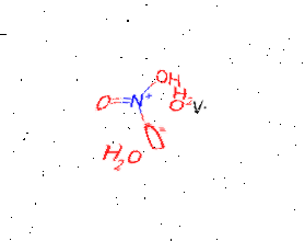 O.O.O=[N+]([O-])O.[V]